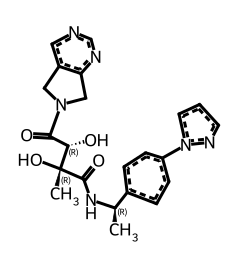 C[C@@H](NC(=O)[C@](C)(O)[C@@H](O)C(=O)N1Cc2cncnc2C1)c1ccc(-n2cccn2)cc1